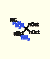 CCCCCCCCC(N)(CCCCCCCC)CCCCCCCC.N#CN.N#CN